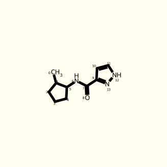 CC1CCCC1NC(=O)c1cc[nH]n1